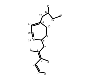 C/C=C\C(C)=C(/C)CC1CCC(CC(C)CC)=CC=N1